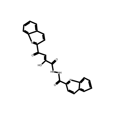 O=C(NNC(=O)c1ccc2ccccc2n1)/C(O)=C/C(=O)c1ccc2ccccc2n1